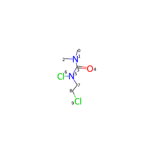 CN(C)C(=O)N(Cl)CCCl